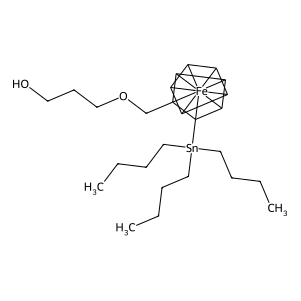 CCC[CH2][Sn]([CH2]CCC)([CH2]CCC)[C]12[CH]3[CH]4[CH]5[C]1(COCCCO)[Fe]45321678[CH]2[CH]1[CH]6[CH]7[CH]28